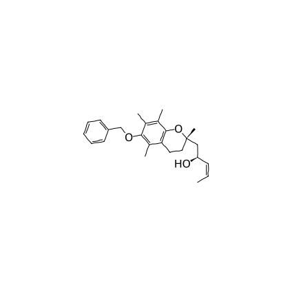 C/C=C\[C@@H](O)C[C@]1(C)CCc2c(C)c(OCc3ccccc3)c(C)c(C)c2O1